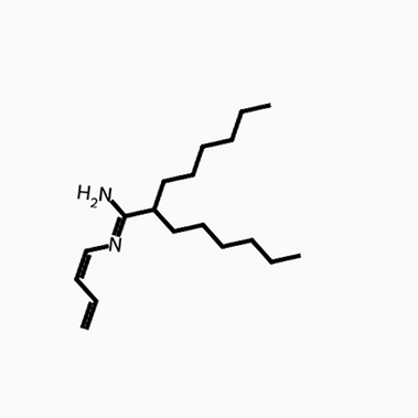 C=C/C=C\N=C(/N)C(CCCCCC)CCCCCC